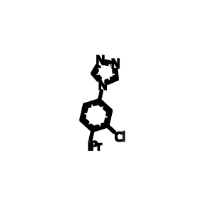 CC(C)c1ccc(-n2cnnc2)cc1Cl